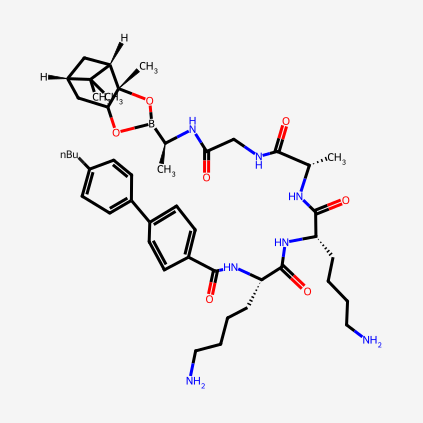 CCCCc1ccc(-c2ccc(C(=O)N[C@@H](CCCCN)C(=O)N[C@@H](CCCCN)C(=O)N[C@@H](C)C(=O)NCC(=O)N[C@@H](C)B3OC4C[C@@H]5C[C@@H](C5(C)C)[C@]4(C)O3)cc2)cc1